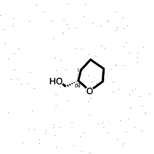 OC[C@@H]1[C]CCCO1